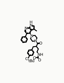 Cc1c[nH]c2ncc(-c3ccccc3)c(N3CCN(C(=O)C(CCNC(=O)OC(C)(C)C)Cc4ccc(Cl)cc4)CC3)c12